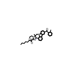 CCCCCCC(=O)O/N=C1/c2cccc3c4cc(C(=O)c5ccccc5C)ccc4n(c23)CC1(C)N1CCOCC1